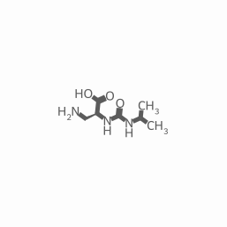 CC(C)NC(=O)N[C@@H](CN)C(=O)O